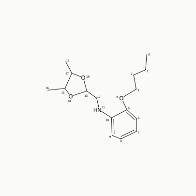 CCCCOc1ccccc1NCC1OC(C)C(C)O1